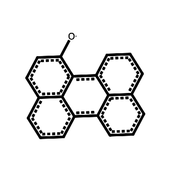 [O]c1ccc2cccc3c4cccc5cccc(c1c23)c54